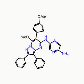 COc1ccc(-c2c(Nc3cnc(N)cn3)nc3c(-c4ccccc4)c(-c4ccccc4)nn3c2OC)cc1